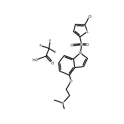 CN(C)CCOc1cccc2c1ccn2S(=O)(=O)c1ccc(Cl)s1.O=C(O)C(F)(F)F